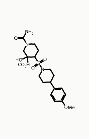 COc1ccc(C2CCN(S(=O)(=O)C3CCN(C(N)=O)CC3(O)C(=O)O)CC2)cc1